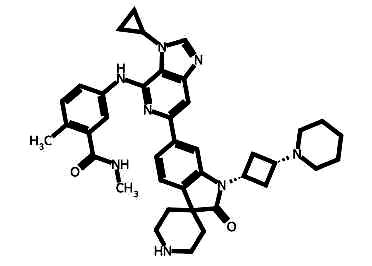 CNC(=O)c1cc(Nc2nc(-c3ccc4c(c3)N([C@H]3C[C@@H](N5CCCCC5)C3)C(=O)C43CCNCC3)cc3ncn(C4CC4)c23)ccc1C